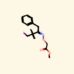 COC(=O)CO/N=C(/Cc1ccccc1)C(C)(C)CI